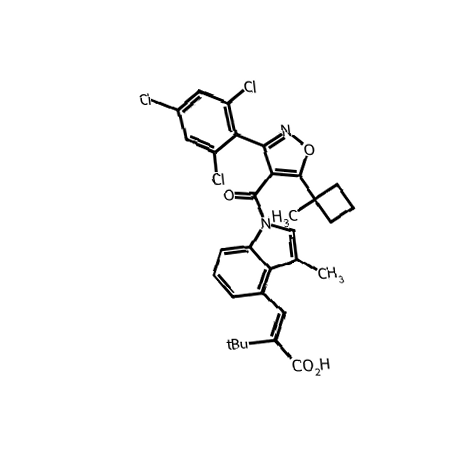 Cc1cn(C(=O)c2c(-c3c(Cl)cc(Cl)cc3Cl)noc2C2(C)CCC2)c2cccc(/C=C(/C(=O)O)C(C)(C)C)c12